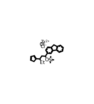 CCC(CC(O[Si](C)(C)C)c1ccc2c(c1)-c1ccccc1C2)C1=CC=CC1.[Cl-].[Cl-].[Zr+2]